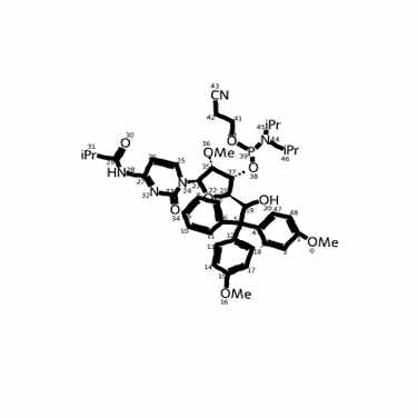 COc1ccc(C(c2ccccc2)(c2ccc(OC)cc2)C(O)[C@H]2O[C@@H](n3ccc(NC(=O)C(C)C)nc3=O)[C@H](OC)[C@@H]2OP(OCCC#N)N(C(C)C)C(C)C)cc1